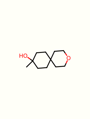 CC1(O)CCC2(CCOCC2)CC1